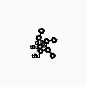 Cc1cc2c3c(c1)N(c1ccc(-c4ccccc4)cc1-c1cc(C(C)(C)C)cc(C(C)(C)C)c1)c1cc(-c4ccccc4)ccc1B3c1cc(-c3ccccc3)ccc1O2